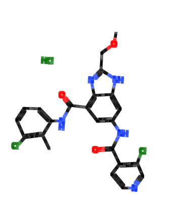 COCc1nc2c(C(=O)Nc3cccc(Cl)c3C)cc(NC(=O)c3ccncc3Cl)cc2[nH]1.Cl